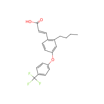 CCCCc1cc(Oc2ccc(C(F)(F)F)cc2)ccc1C=CC(=O)O